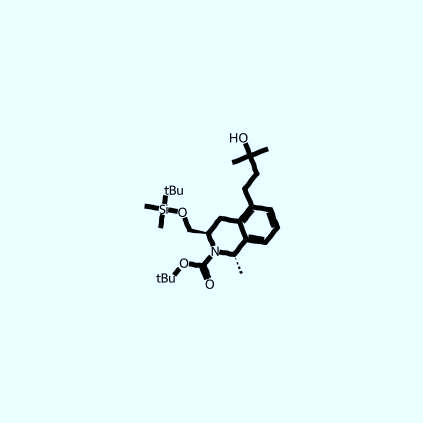 C[C@H]1c2cccc(CCC(C)(C)O)c2C[C@H](CO[Si](C)(C)C(C)(C)C)N1C(=O)OC(C)(C)C